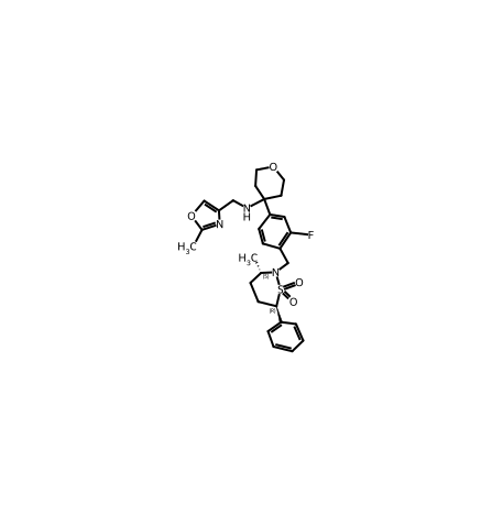 Cc1nc(CNC2(c3ccc(CN4[C@@H](C)CC[C@H](c5ccccc5)S4(=O)=O)c(F)c3)CCOCC2)co1